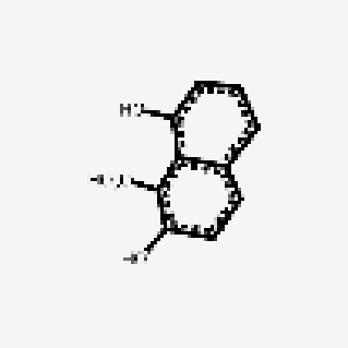 O=C(O)c1c(O)ccc2cccc(O)c12